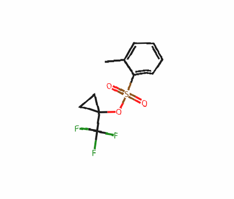 Cc1ccccc1S(=O)(=O)OC1(C(F)(F)F)CC1